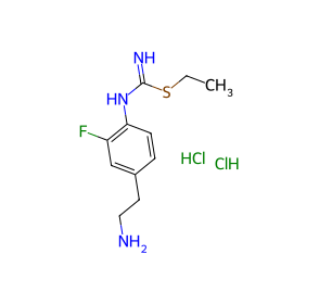 CCSC(=N)Nc1ccc(CCN)cc1F.Cl.Cl